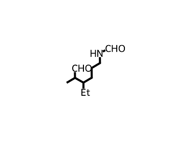 CCC(CCCNC=O)C(C)C=O